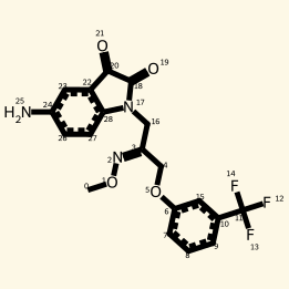 CON=C(COc1cccc(C(F)(F)F)c1)CN1C(=O)C(=O)c2cc(N)ccc21